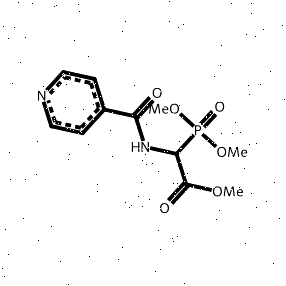 COC(=O)C(NC(=O)c1ccncc1)P(=O)(OC)OC